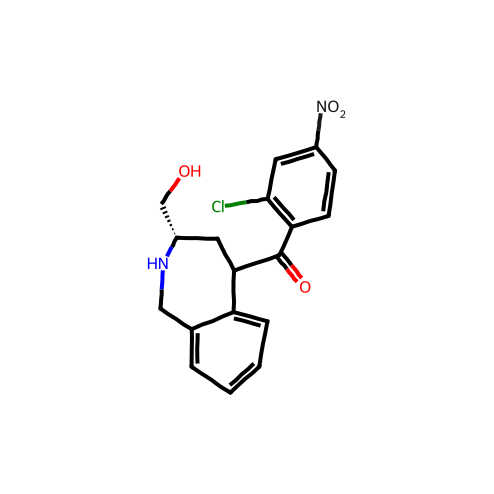 O=C(c1ccc([N+](=O)[O-])cc1Cl)C1C[C@@H](CO)NCc2ccccc21